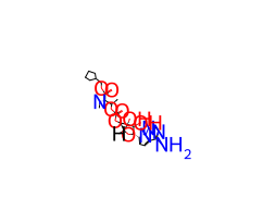 C[C@@H](OC(=O)OC1[C@H]2O[C@@H](c3ccc4c(N)ncnn34)[C@H](O)[C@@]12O)[C@@H](C(=O)OCC1CCCC1)N(C)C